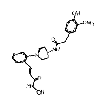 COc1cc(CC(=O)NC2CCN(c3ccccc3/C=C/C(=O)NO)CC2)ccc1O